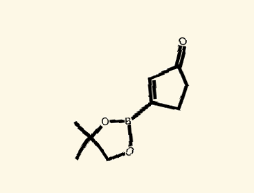 CC1(C)COB(C2=CC(=O)CC2)O1